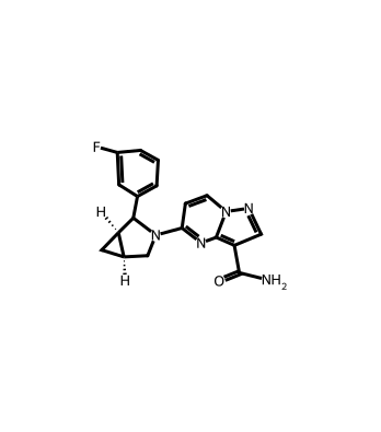 NC(=O)c1cnn2ccc(N3C[C@H]4C[C@H]4C3c3cccc(F)c3)nc12